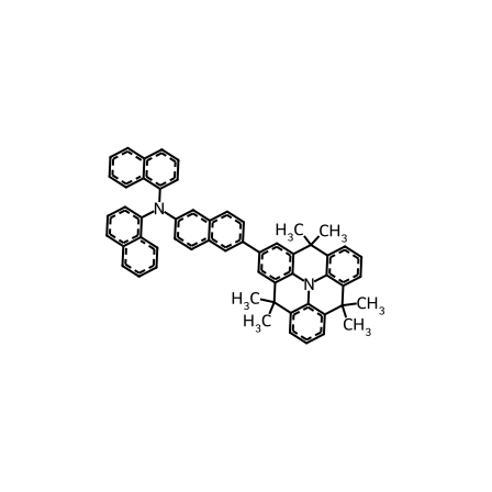 CC1(C)c2cccc3c2N2c4c1cccc4C(C)(C)c1cc(-c4ccc5cc(N(c6cccc7ccccc67)c6cccc7ccccc67)ccc5c4)cc(c12)C3(C)C